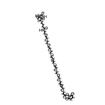 O=C(CCCC[C@@H]1SC[C@@H]2NC(=O)N[C@@H]21)NCCOCCOCCOCCOCCOCCOCCOCCOCCOCCOCCOCCOCCC(=O)ON1C(=O)CCC1=O